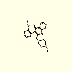 CCOc1ccccc1-n1c(CN2CCN(CC)CC2)nc2ccccc2c1=O